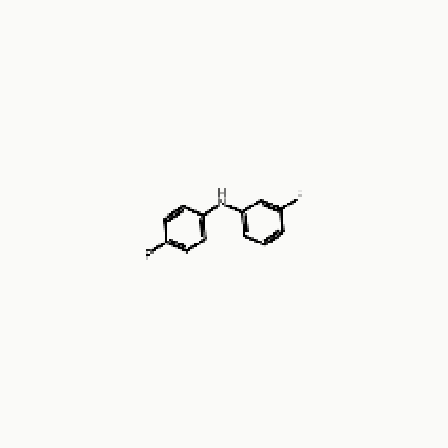 Fc1ccc(Nc2cccc(F)c2)cc1